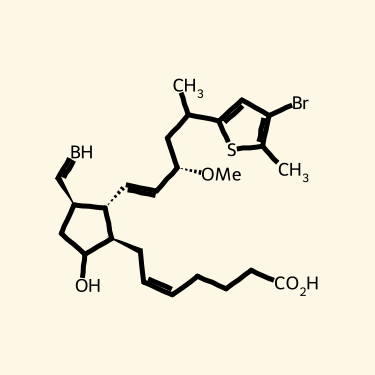 B=C[C@@H]1CC(O)[C@H](C/C=C\CCCC(=O)O)[C@H]1/C=C/[C@H](CC(C)c1cc(Br)c(C)s1)OC